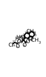 CC1=C2[C@@H]3OC(=O)C(O)(COC(=O)CCl)C3(O)CC[C@@]2(C)CCC1